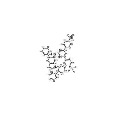 C[Si](C)(C)c1ccc(-c2cc(-c3ccc([Si](C)(C)C)cc3)nc(Nc3cc4c(cc3-c3ccccc3)cc3c5ccccc5c5ccccc5n43)n2)cc1